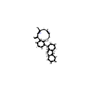 C=C1/C=C(/C)C/C=C\COc2c1cccc2-c1cccc2c1oc1ccccc12